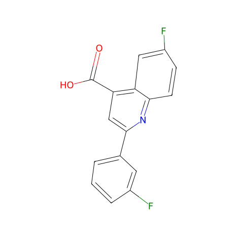 O=C(O)c1cc(-c2cccc(F)c2)nc2ccc(F)cc12